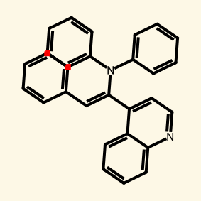 C(=C(c1ccnc2ccccc12)N(c1ccccc1)c1ccccc1)c1ccccc1